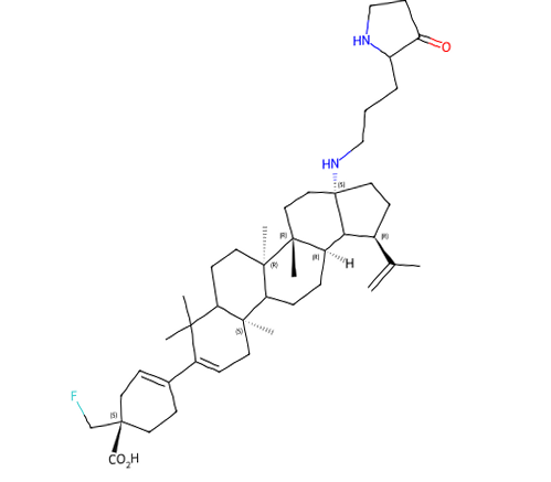 C=C(C)[C@@H]1CC[C@]2(NCCCC3NCCC3=O)CC[C@]3(C)[C@H](CCC4[C@@]5(C)CC=C(C6=CC[C@](CF)(C(=O)O)CC6)C(C)(C)C5CC[C@]43C)C12